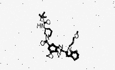 COCCCn1c(-c2nc3cc(C(=O)N4CCCC(NC(=O)OC(C)(C)C)C4)cc(OC)c3n2C)cc2ccccc21